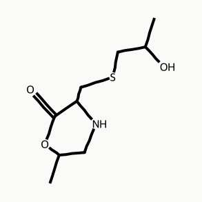 CC(O)CSCC1NCC(C)OC1=O